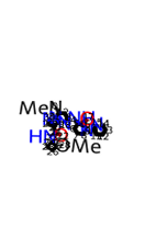 CNc1cc(Nc2cccn(-c3ccccn3)c2=O)nc2c(C(=O)N[C@H]3CC[C@@H]3OC)cnn12